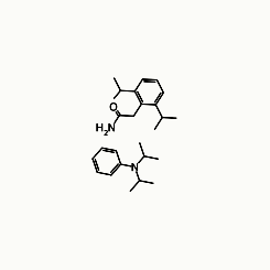 CC(C)N(c1ccccc1)C(C)C.CC(C)c1cccc(C(C)C)c1CC(N)=O